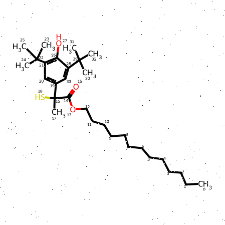 CCCCCCCCCCCCCOC(=O)C(C)(S)c1cc(C(C)(C)C)c(O)c(C(C)(C)C)c1